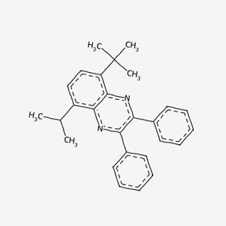 CC(C)c1ccc(C(C)(C)C)c2nc(-c3ccccc3)c(-c3ccccc3)nc12